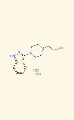 Cl.Cl.OCCN1CCN(c2n[nH]c3ccccc23)CC1